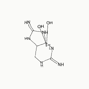 N=C1NC2CNC(=N)N3CCC(O)(O)C23N1